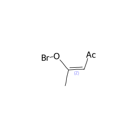 CC(=O)/C=C(/C)OBr